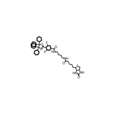 O=C(CCCCC1SCC2NC(=O)NC21)NCCCCNC(=O)c1cc(F)c(B2OC(c3ccccc3)(c3ccccc3)C(c3ccccc3)(c3ccccc3)O2)c(F)c1